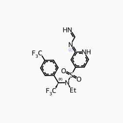 CCN([C@H](c1ccc(C(F)(F)F)cc1)C(F)(F)F)S(=O)(=O)c1cc[nH]/c(=N\C=N)c1